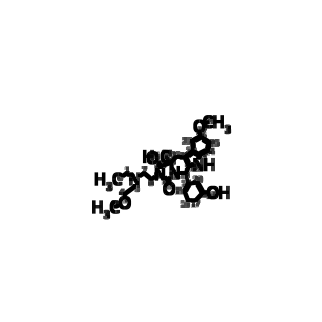 CCN(CCOC)CCN1C(=O)N2[C@H](C3=CCCC(O)=C3)c3[nH]c4ccc(OC)cc4c3C[C@@]2(C)C1=O